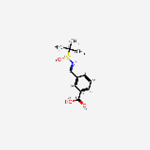 CC(C)(C)[S@@+]([O-])/N=C/c1cccc(C(=O)O)c1